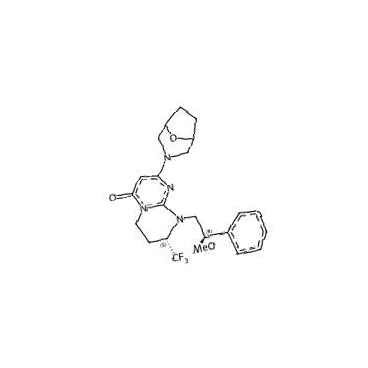 CO[C@@H](CN1c2nc(N3CC4CCC(C3)O4)cc(=O)n2CC[C@H]1C(F)(F)F)c1ccccc1